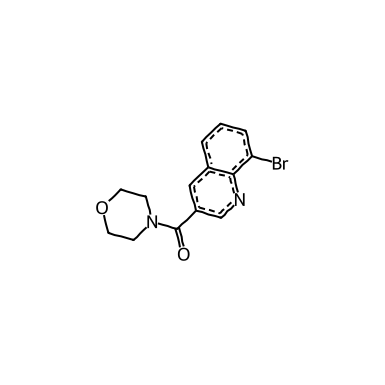 O=C(c1cnc2c(Br)cccc2c1)N1CCOCC1